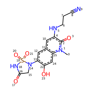 Cn1c(=O)c(NCCC#N)cc2cc(N3CC(=O)NS3(=O)=O)c(O)cc21